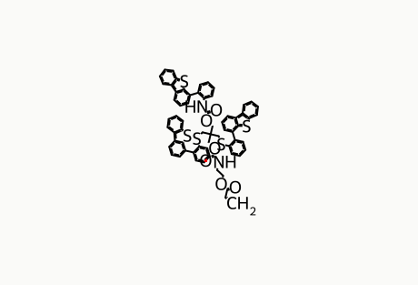 C=CC(=O)OCCNC(=O)OCC(COC(=O)Nc1ccccc1-c1cccc2c1sc1ccccc12)(CSc1ccccc1-c1cccc2c1sc1ccccc12)CSc1ccccc1-c1cccc2c1sc1ccccc12